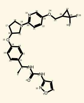 C[C@H](NC(=O)Nc1ccon1)c1ccc(OC2CCN(c3ccc(OCC4CC4(F)F)cn3)C2)cc1